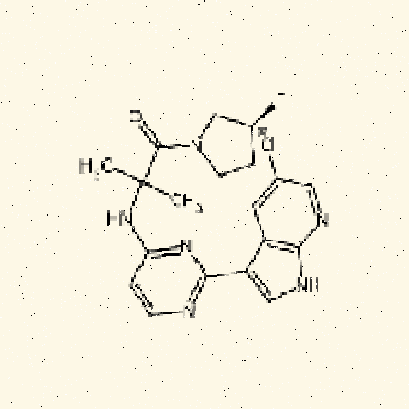 CC(C)(Nc1ccnc(-c2c[nH]c3ncc(Cl)cc23)n1)C(=O)N1CC[C@H](F)C1